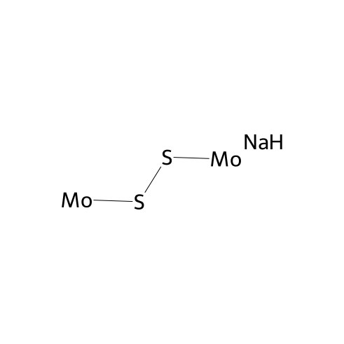 [Mo][S][S][Mo].[NaH]